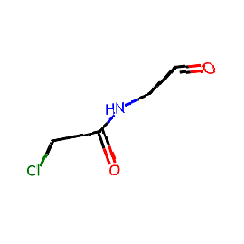 O=CCNC(=O)CCl